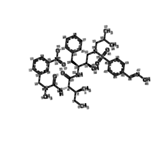 CC[C@H](C)[C@H](NC(=O)N(C)Cc1cccc([N+](=O)[O-])c1)C(=O)N[C@@H](Cc1ccccc1)[C@H](O)CN(CC(C)C)S(=O)(=O)c1ccc(C=NO)cc1